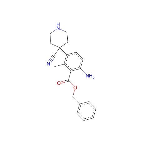 Cc1c(C2(C#N)CCNCC2)ccc(N)c1C(=O)OCc1ccccc1